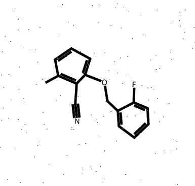 Cc1cccc(OCc2ccccc2F)c1C#N